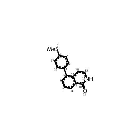 CSc1ccc(-c2cccc3c(=O)[nH]ccc23)cc1